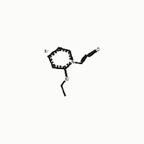 CCOc1cccc[n+]1C=C=O.[Br-]